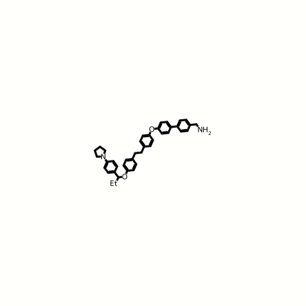 CCC(Oc1ccc(CCc2ccc(Oc3ccc(-c4ccc(CN)cc4)cc3)cc2)cc1)c1ccc(N2CCCC2)cc1